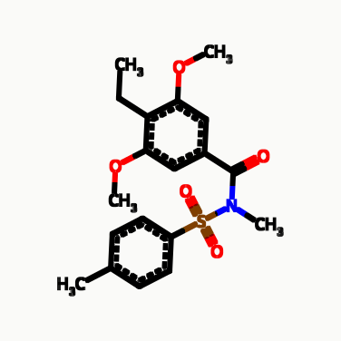 CCc1c(OC)cc(C(=O)N(C)S(=O)(=O)c2ccc(C)cc2)cc1OC